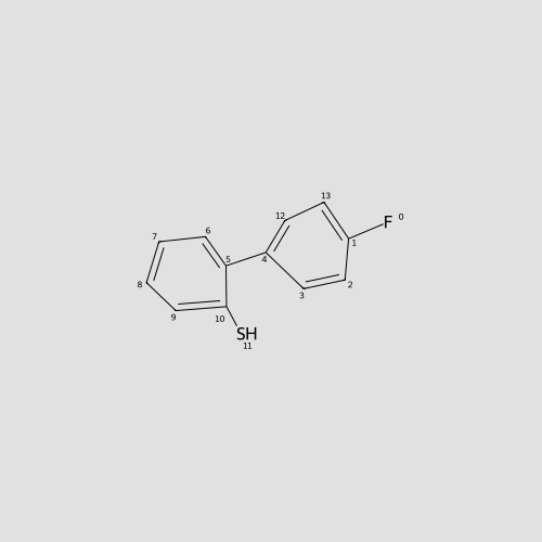 Fc1ccc(-c2ccccc2S)cc1